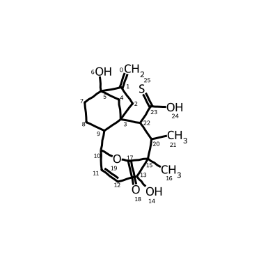 C=C1CC23CC1(O)CCC2C1C=CC(O)C(C)(C(=O)O1)C(C)C3C(O)=S